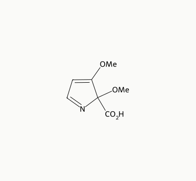 COC1=CC=NC1(OC)C(=O)O